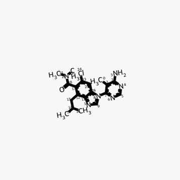 Cc1c(N)ncnc1-n1cnc2c(CC(C)C)c(C(=O)N(C)C)c(Cl)cc21